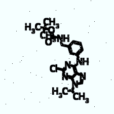 CC(C)n1cnc2c(Nc3cccc(CNC(=O)OC(C)(C)C)c3)nc(Cl)nc21